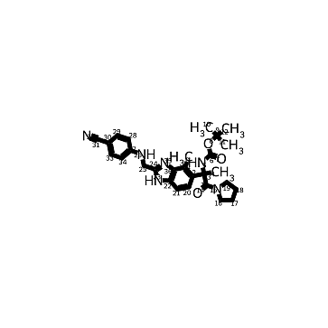 Cc1c(C(C)(NC(=O)OC(C)(C)C)C(=O)N2CCCC2)ccc2[nH]c(CNc3ccc(C#N)cc3)nc12